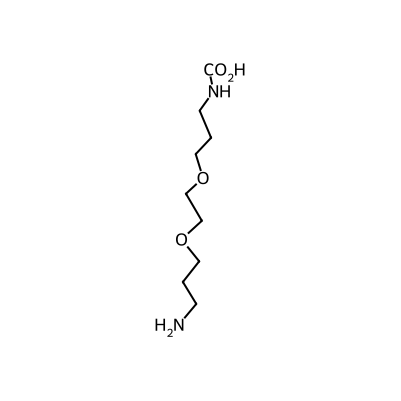 NCCCOCCOCCCNC(=O)O